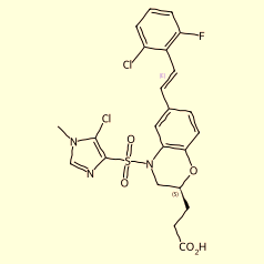 Cn1cnc(S(=O)(=O)N2C[C@H](CCC(=O)O)Oc3ccc(/C=C/c4c(F)cccc4Cl)cc32)c1Cl